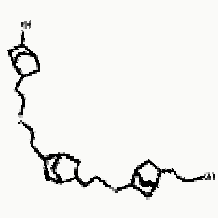 SCCC1CC2CC1CC2SCCC1CC2CC1CC2CCSCCC1CC2CC1CC2S